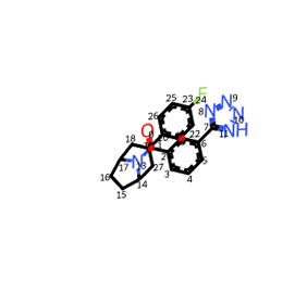 O=C(c1cccc(-c2nnn[nH]2)c1)N1C2CCC1CC(c1ccc(F)cc1)C2